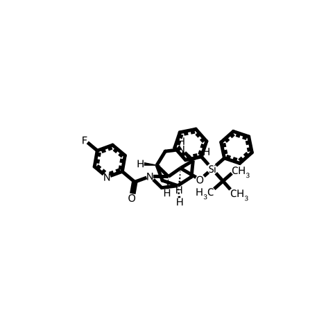 CC(C)(C)[Si](O[C@H]1[C@@H]2[C@H]3CN[C@@H]1C[C@H](C3)CN2C(=O)c1ccc(F)cn1)(c1ccccc1)c1ccccc1